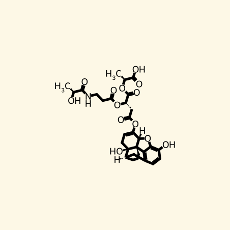 C[C@H](O)C(=O)NCCC(=O)O[C@@H](CC(=O)OC1=CC[C@@]2(O)[C@@H]3CCC[C@@]24c2c(ccc(O)c2O[C@@H]14)C3)C(=O)O[C@@H](C)C(=O)O